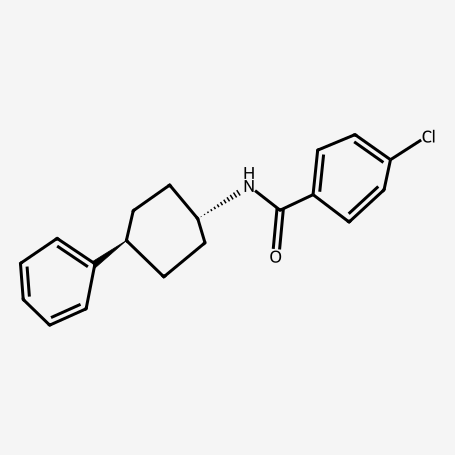 O=C(N[C@H]1CC[C@H](c2ccccc2)CC1)c1ccc(Cl)cc1